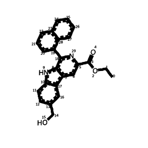 CCOC(=O)c1cc2c([nH]c3ccc(CO)cc32)c(-c2cccc3ccccc23)n1